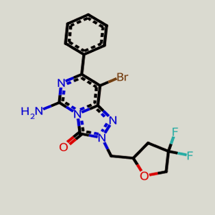 Nc1nc(-c2ccccc2)c(Br)c2nn(CC3CC(F)(F)CO3)c(=O)n12